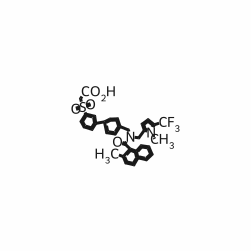 Cc1ccc2ccccc2c1C(=O)N(Cc1ccc(-c2cccc(S(=O)(=O)CC(=O)O)c2)cc1)Cc1ccc(C(F)(F)F)n1C